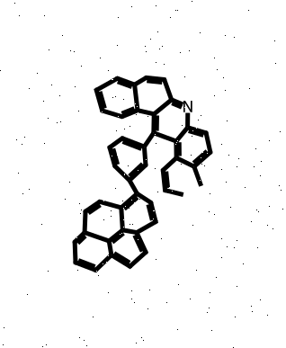 C/C=C\c1c(C)ccc2nc3ccc4ccccc4c3c(-c3cccc(-c4ccc5ccc6cccc7ccc4c5c67)c3)c12